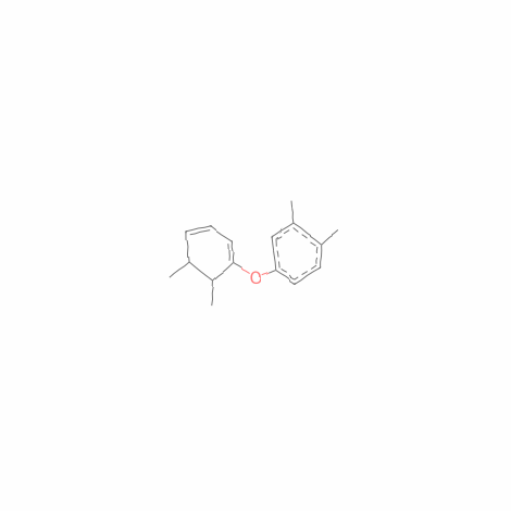 Cc1ccc(OC2=CC=CC(C)C2C)cc1C